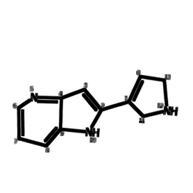 C1=C(c2cc3ncccc3[nH]2)CNC1